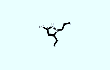 CCCN1NC(S)C=C1CC